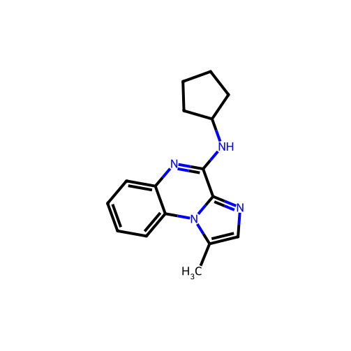 Cc1cnc2c(NC3CCCC3)nc3ccccc3n12